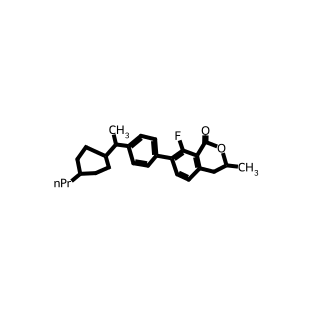 CCCC1CCC(C(C)c2ccc(-c3ccc4c(c3F)C(=O)OC(C)C4)cc2)CC1